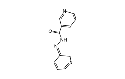 O=C(NN=C1C=CC=NC1)c1cccnc1